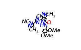 COc1ccc(CNC(=O)c2cc3c(cnn3C)c(-c3nc(-c4cc(C)nn4CC#N)cn3C)n2)c(OC)c1